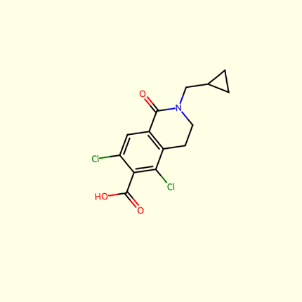 O=C(O)c1c(Cl)cc2c(c1Cl)CCN(CC1CC1)C2=O